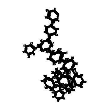 c1ccc(-c2ccc(-c3cc(-c4ccccc4)nc(-c4ccc(-c5ccc6c(c5)C5(c7ccccc7-6)c6ccccc6C6(c7ccccc7-c7ccccc76)c6ccccc65)cc4)n3)cc2)cc1